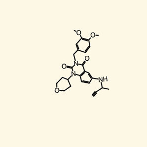 C#CC(C)Nc1ccc2c(c1)c(=O)n(Cc1ccc(OC)c(OC)c1)c(=O)n2C1CCOCC1